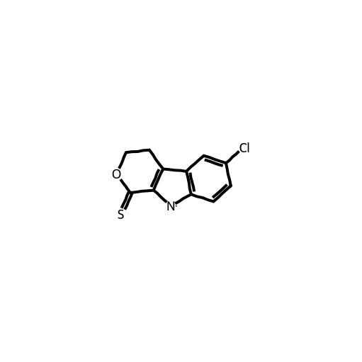 S=C1OCCC2=C1[N]c1ccc(Cl)cc12